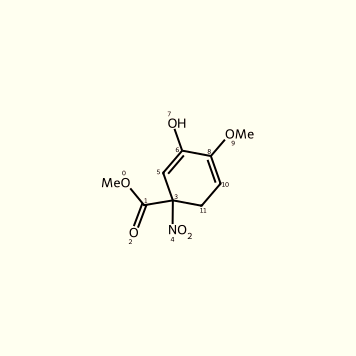 COC(=O)C1([N+](=O)[O-])C=C(O)C(OC)=CC1